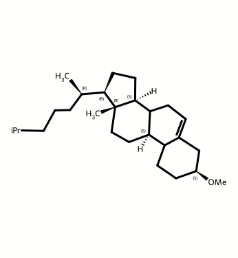 CO[C@H]1CCC2C(=CCC3[C@@H]2CC[C@]2(C)[C@@H]([C@H](C)CCCC(C)C)CC[C@@H]32)C1